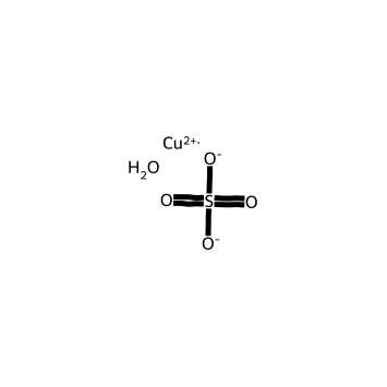 O.O=S(=O)([O-])[O-].[Cu+2]